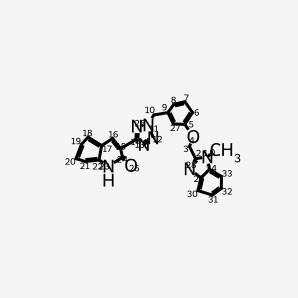 Cn1c(COc2cccc(Cn3nnc(-c4cc5ccccc5[nH]c4=O)n3)c2)nc2ccccc21